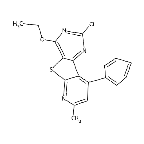 CCOc1nc(Cl)nc2c1sc1nc(C)cc(-c3ccccc3)c12